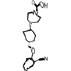 N#Cc1cnccc1OC[C@H]1CC[C@H](N2CCN(C(=O)O)CC2)CC1